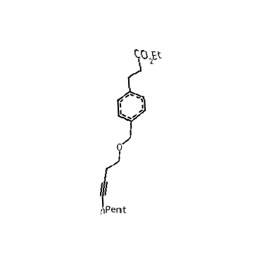 CCCCCC#CCCOCc1ccc(CCC(=O)OCC)cc1